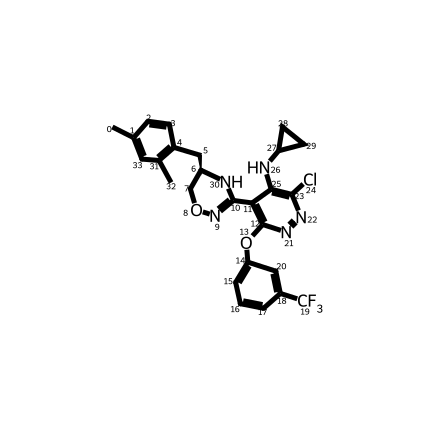 Cc1ccc(C[C@@H]2CON=C(c3c(Oc4cccc(C(F)(F)F)c4)nnc(Cl)c3NC3CC3)N2)c(C)c1